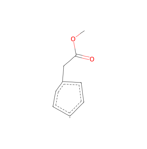 COC(=O)Cc1cc[c]cc1